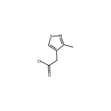 Cc1nscc1CC(=O)Cl